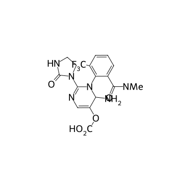 CNC(=O)c1cccc(C(F)(F)F)c1N1C(N2CCNC2=O)=NC=C(OC(=O)O)C1N